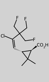 CC1(C)[C@H](/C=C(/Cl)C(CF)(CF)CF)[C@H]1C(=O)O